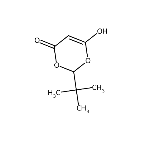 CC(C)(C)C1OC(=O)C=C(O)O1